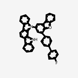 Fc1ccc(-c2ccc(-c3cc(-n4c5ccccc5c5ccc6c7ccccc7[nH]c6c54)cc4c3oc3ccccc34)cc2)cc1